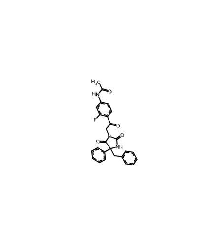 CC(=O)Nc1ccc(C(=O)CN2C(=O)NC(Cc3ccccc3)(c3ccccc3)C2=O)c(F)c1